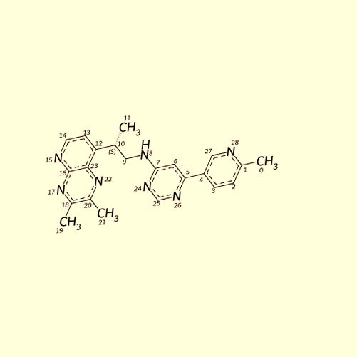 Cc1ccc(-c2cc(NC[C@@H](C)c3ccnc4nc(C)c(C)nc34)ncn2)cn1